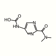 CN(C)C(=O)c1ncc(NC(=O)O)cn1